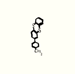 CC1=CC=C(c2ccc3c(c2)SC2=CC=CCC2S3)CC1